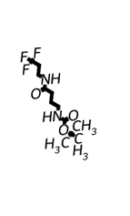 CC(C)(C)OC(=O)NCCCC(=O)NCCC(F)(F)F